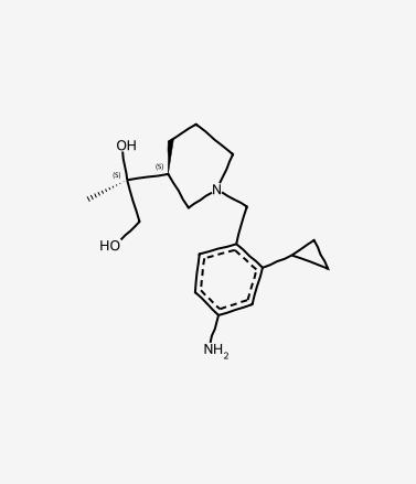 C[C@@](O)(CO)[C@H]1CCCN(Cc2ccc(N)cc2C2CC2)C1